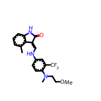 COCCN(C)c1ccc(N/C=C2/C(=O)Nc3cccc(C)c32)cc1C(F)(F)F